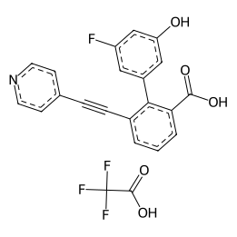 O=C(O)C(F)(F)F.O=C(O)c1cccc(C#Cc2ccncc2)c1-c1cc(O)cc(F)c1